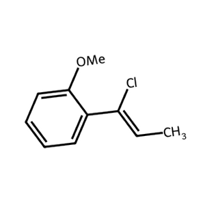 CC=C(Cl)c1ccccc1OC